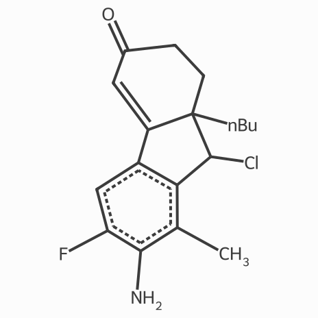 CCCCC12CCC(=O)C=C1c1cc(F)c(N)c(C)c1C2Cl